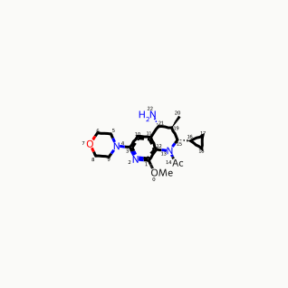 COc1nc(N2CCOCC2)cc2c1N(C(C)=O)[C@@H](C1CC1)[C@H](C)[C@H]2N